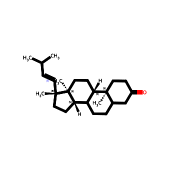 CC(C)/C=C/[C@@]1(C)CC[C@H]2C3CCC4CC(=O)CC[C@]4(C)[C@H]3CC[C@@]21C